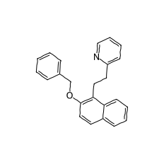 c1ccc(COc2ccc3ccccc3c2CCc2ccccn2)cc1